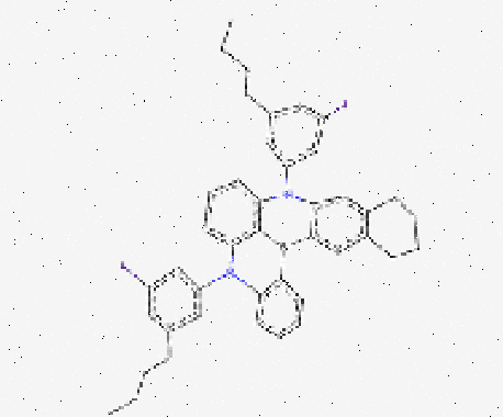 CCCCc1cc(I)cc(N2c3ccccc3B3c4cc5c(cc4N(c4cc(I)cc(CCCC)c4)c4cccc2c43)CCCC5)c1